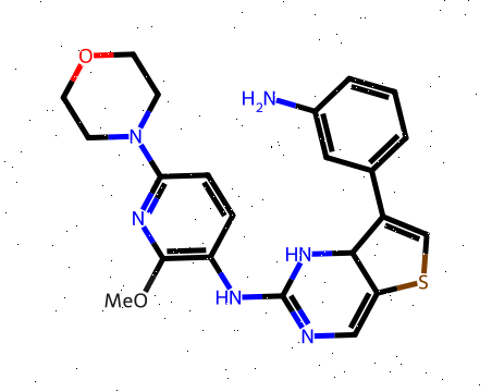 COc1nc(N2CCOCC2)ccc1NC1=NC=C2SC=C(c3cccc(N)c3)C2N1